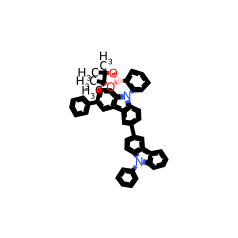 CC1(C)OB(c2ccccc2-n2c3ccc(-c4ccccc4)cc3c3cc(-c4ccc5c(c4)c4ccccc4n5-c4ccccc4)ccc32)OC1(C)C